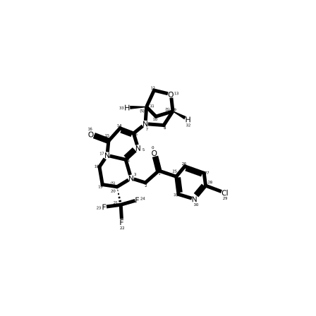 O=C(CN1c2nc(N3C[C@@H]4C[C@H]3CO4)cc(=O)n2CC[C@H]1C(F)(F)F)c1ccc(Cl)nc1